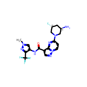 Cn1cc(NC(=O)c2cnn3ccc(N4C[C@H](N)C[C@@H](F)C4)nc23)c(C(F)(F)F)n1